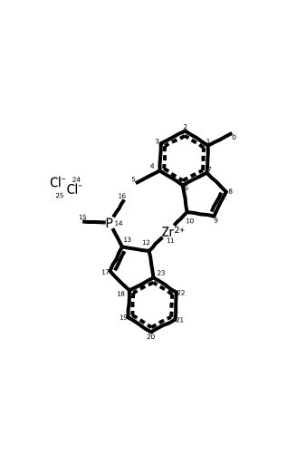 Cc1ccc(C)c2c1C=C[CH]2[Zr+2][CH]1C(P(C)C)=Cc2ccccc21.[Cl-].[Cl-]